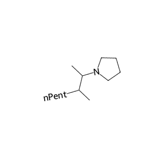 CCCCCC(C)C(C)N1CCCC1